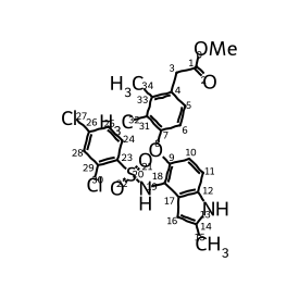 COC(=O)Cc1ccc(Oc2ccc3[nH]c(C)cc3c2NS(=O)(=O)c2ccc(Cl)cc2Cl)c(C)c1C